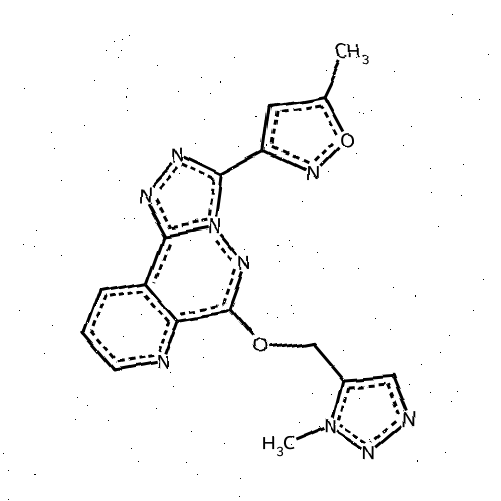 Cc1cc(-c2nnc3c4cccnc4c(OCc4cnnn4C)nn23)no1